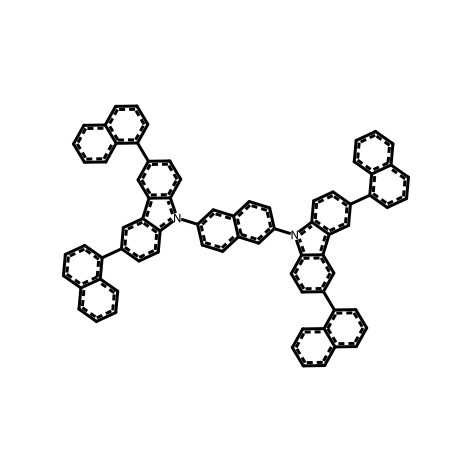 c1ccc2c(-c3ccc4c(c3)c3cc(-c5cccc6ccccc56)ccc3n4-c3ccc4cc(-n5c6ccc(-c7cccc8ccccc78)cc6c6cc(-c7cccc8ccccc78)ccc65)ccc4c3)cccc2c1